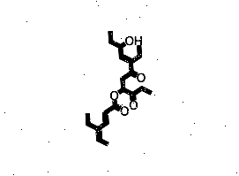 CC=C(C=CC(=O)OC(CC(=O)C(=CC(O)CC)CC)C(=O)CC)CC